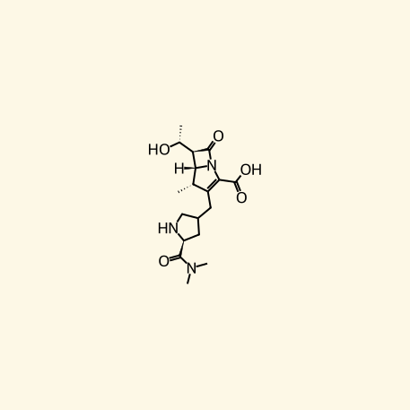 C[C@@H](O)[C@H]1C(=O)N2C(C(=O)O)=C(CC3CN[C@H](C(=O)N(C)C)C3)[C@H](C)[C@H]12